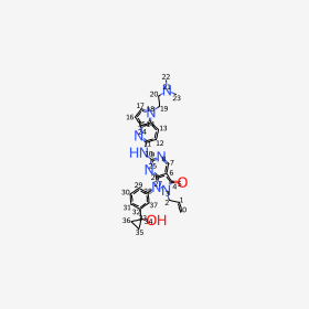 C=CCn1c(=O)c2cnc(Nc3ccc4c(ccn4CCN(C)C)n3)nc2n1-c1cccc(C2(O)CC2)c1